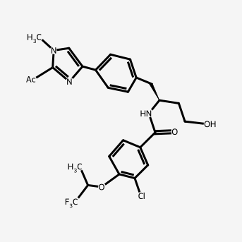 CC(=O)c1nc(-c2ccc(C[C@@H](CCO)NC(=O)c3ccc(OC(C)C(F)(F)F)c(Cl)c3)cc2)cn1C